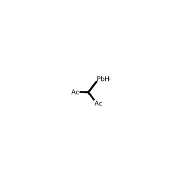 CC(=O)[CH]([PbH])C(C)=O